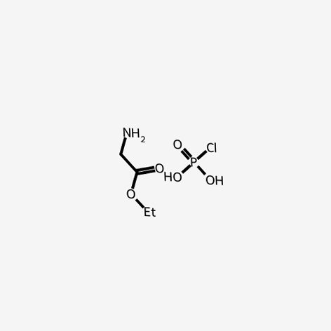 CCOC(=O)CN.O=P(O)(O)Cl